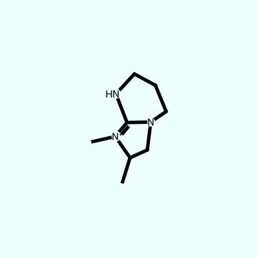 CC1CN2CCCNC2=[N+]1C